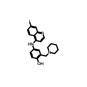 Oc1ccc(Nc2ccnc3cc(I)ccc23)cc1CN1CCCCC1